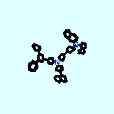 c1ccc(-c2cc(-c3ccccc3)cc(-c3ccc(N(c4ccc(-c5ccc(N(c6ccc7ccccc7c6)c6cccc7ccccc67)cc5)cc4)c4ccc(-c5cccc6ccccc56)cc4)cc3)c2)cc1